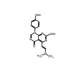 CSc1ccc(-n2cnc(=O)c3c(C=CN(C)C)nc(SC)nc32)cc1